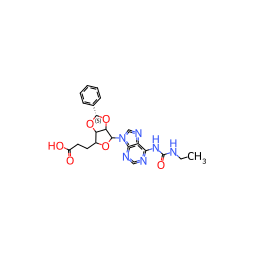 CCNC(=O)Nc1ncnc2c1ncn2C1OC(CCC(=O)O)C2O[C@H](c3ccccc3)OC21